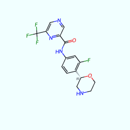 O=C(Nc1ccc([C@H]2CNCCO2)c(F)c1)c1cncc(C(F)(F)F)n1